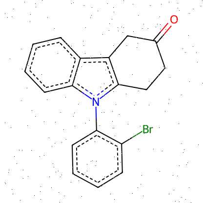 O=C1CCc2c(c3ccccc3n2-c2ccccc2Br)C1